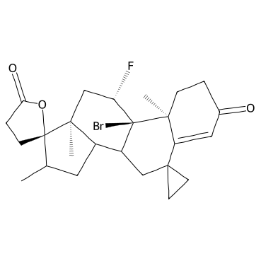 CC1CC2C3CC4(CC4)C4=CC(=O)CC[C@]4(C)[C@@]3(Br)[C@@H](F)C[C@]2(C)[C@]12CCC(=O)O2